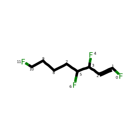 FC=CC(F)C(F)CCCCF